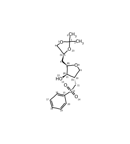 CC1(C)OC[C@H](C[C@H]2OC[C@H](CS(=O)(=O)c3ccccc3)[C@H]2O)O1